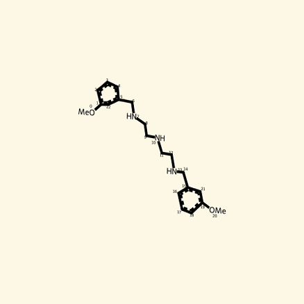 COc1cccc(CNCCNCCNCc2cccc(OC)c2)c1